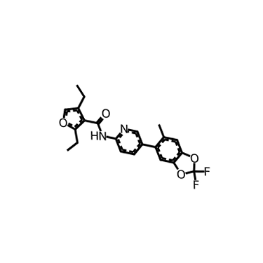 CCc1coc(CC)c1C(=O)Nc1ccc(-c2cc3c(cc2C)OC(F)(F)O3)cn1